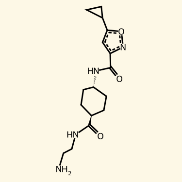 NCCNC(=O)[C@H]1CC[C@H](NC(=O)c2cc(C3CC3)on2)CC1